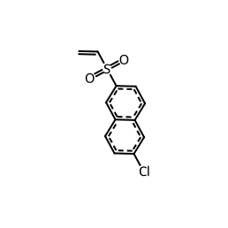 C=CS(=O)(=O)c1ccc2cc(Cl)ccc2c1